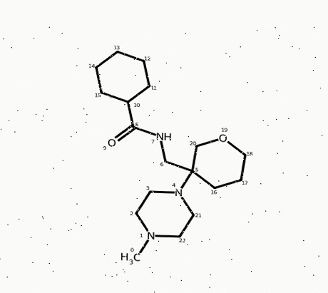 CN1CCN(C2(CNC(=O)C3CCCCC3)CCCOC2)CC1